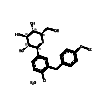 CCOc1ccc(Cc2cc([C@@H]3O[C@H](CO)[C@@H](O)[C@H](O)[C@H]3O)ccc2Cl)cc1.O